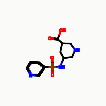 O=C(O)C1CNCC(NS(=O)(=O)c2cccnc2)C1